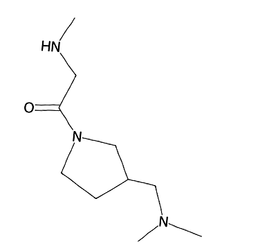 CNCC(=O)N1CCC(CN(C)C)C1